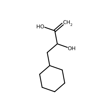 C=C(O)C(O)CC1CCCCC1